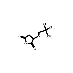 CC(C)(C)CSC1CC(=O)NC1=O